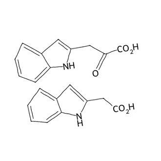 O=C(O)C(=O)Cc1cc2ccccc2[nH]1.O=C(O)Cc1cc2ccccc2[nH]1